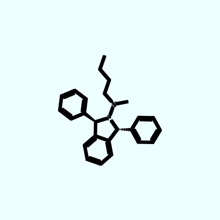 CCCCN(C)P1[C@H](c2ccccc2)c2ccccc2[C@H]1c1ccccc1